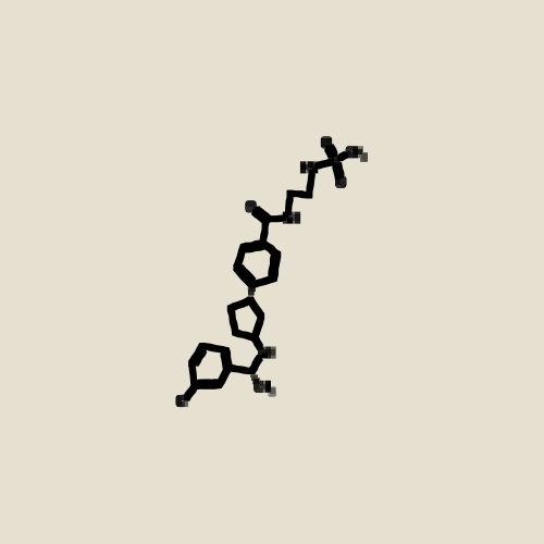 C[C@@H](NC1CC[C@H](c2ccc(C(=O)NCCNS(C)(=O)=O)cc2)C1)c1cccc(Cl)c1